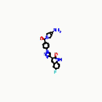 NC1C2CN(C(=O)c3ccc(-n4cc(-c5cc6cc(F)ccc6[nH]c5=O)nn4)cc3)CC12